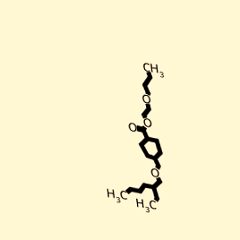 CCCCOCCOC(=O)C1CCC(COCC(CC)CCCC)CC1